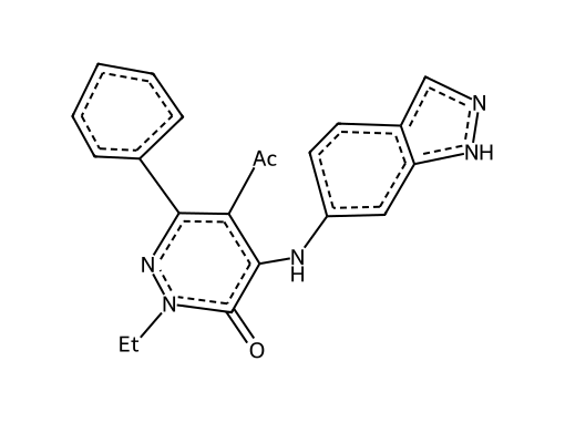 CCn1nc(-c2ccccc2)c(C(C)=O)c(Nc2ccc3cn[nH]c3c2)c1=O